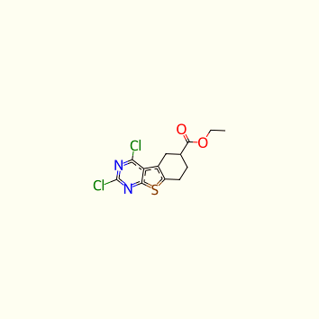 CCOC(=O)C1CCc2sc3nc(Cl)nc(Cl)c3c2C1